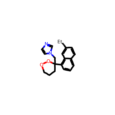 CCc1ccc2cccc(C3(Cn4ccnc4)CCCOO3)c2c1